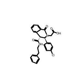 O=C(O)CN1C(=O)c2ccccc2[C@@H](C(=O)NCCc2ccccc2)[C@@H]1c1ccc(Cl)cc1